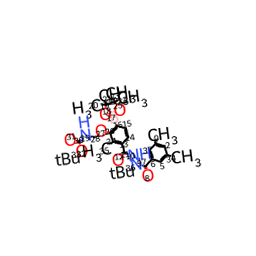 Cc1cc(C)cc(C(=O)N(NC(=O)c2ccc(B3OC(C)(C)C(C)(C)O3)c(OCNC(=O)OC(C)(C)C)c2C)C(C)(C)C)c1